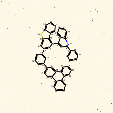 c1ccc(-c2cc(-c3cc(-c4cccc(-c5ccc6c7ccccc7c7ccccc7c6c5)c4)cc4sc5ccccc5c34)c3ccccc3n2)cc1